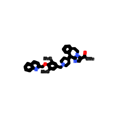 COC(=O)c1cnc2n1CCc1ccccc1C2=C1CCN(Cc2cc(OC)c(OCc3ccc4ccccc4n3)c(OC)c2)CC1